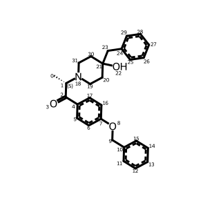 C[C@@H](C(=O)c1ccc(OCc2ccccc2)cc1)N1CCC(O)(Cc2ccccc2)CC1